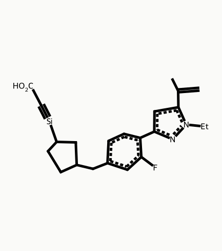 C=C(C)c1cc(-c2ccc(CC3CCC([Si]#CC(=O)O)C3)cc2F)nn1CC